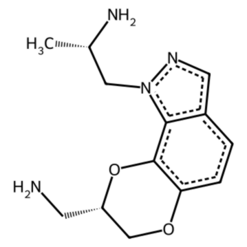 C[C@H](N)Cn1ncc2ccc3c(c21)O[C@@H](CN)CO3